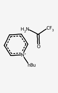 CCCC[n+]1ccccc1.NC(=O)C(F)(F)F